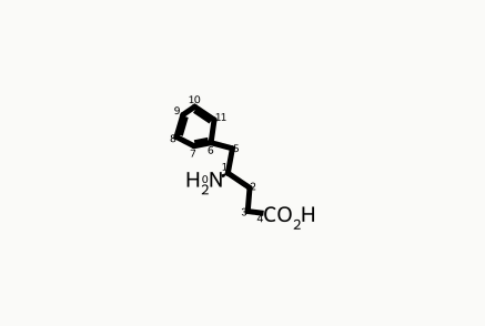 N[C@@H](CCC(=O)O)Cc1ccccc1